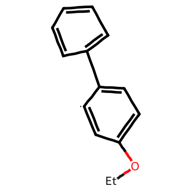 CCOc1c[c]c(-c2ccccc2)cc1